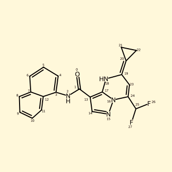 O=C(Nc1cccc2ccccc12)c1cnn2c1NC(=C1CC1)C=C2C(F)F